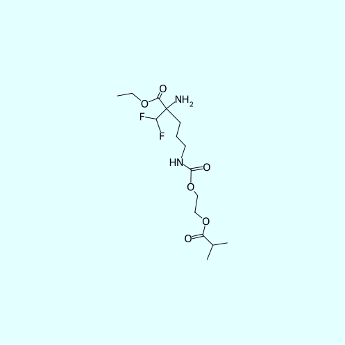 CCOC(=O)C(N)(CCCNC(=O)OCCOC(=O)C(C)C)C(F)F